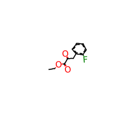 CCOC(=O)C(=O)Cc1ccccc1F